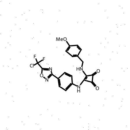 COc1ccc(CNc2c(Nc3ccc(-c4noc(C(F)(F)Cl)n4)cc3)c(=O)c2=O)cc1